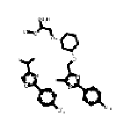 CC(I)c1coc(-c2ccc(C(F)(F)F)cc2)n1.CCOC(CO[C@@H]1CCC[C@H](OCc2nc(-c3ccc(C(F)(F)F)cc3)oc2C)C1)C(=O)O